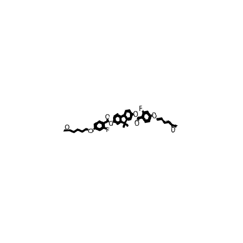 CC1(C)c2cc(OC(=O)c3ccc(OCCCCC4CO4)cc3F)ccc2-c2ccc(OC(=O)c3ccc(OCCCCC4CO4)cc3F)cc21